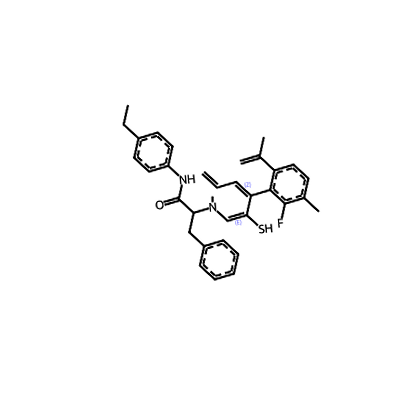 C=C/C=C(\C(S)=C/N(C)C(Cc1ccccc1)C(=O)Nc1ccc(CC)cc1)c1c(C(=C)C)ccc(C)c1F